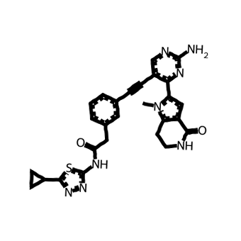 Cn1c(-c2nc(N)ncc2C#Cc2cccc(CC(=O)Nc3nnc(C4CC4)s3)c2)cc2c1CCNC2=O